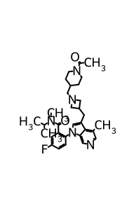 CC(=O)N1CCC(CN2CC(Cc3cn(-c4ccc(F)cc4C(=O)N(C)C(C)C)c4cncc(C)c34)C2)CC1